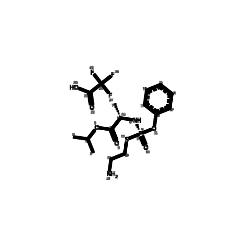 CC(C)OC(=O)[C@H](C)N[P@@](=O)(Oc1ccccc1)SCCN.O=C(O)C(F)(F)F